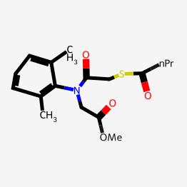 CCCC(=O)SCC(=O)N(CC(=O)OC)c1c(C)cccc1C